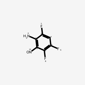 Nc1c(F)cc(F)c(F)c1N=O